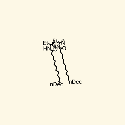 CCCCCCCCCCCCCCCCCCCCCC(=O)NC(CC)N(C)C.CCCCCCCCCCCCCCCCCCCCCC(=O)NC(CC)N(C)C